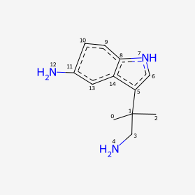 CC(C)(CN)c1c[nH]c2ccc(N)cc12